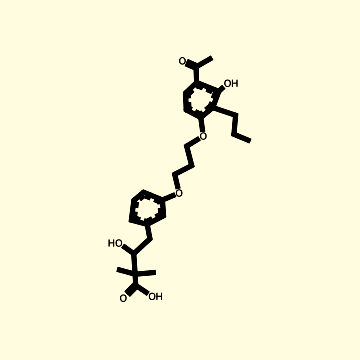 CCCc1c(OCCCOc2cccc(CC(O)C(C)(C)C(=O)O)c2)ccc(C(C)=O)c1O